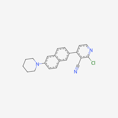 N#Cc1c(-c2ccc3cc(N4CCCCC4)ccc3c2)ccnc1Cl